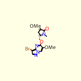 COc1cn2ncc(Br)c2nc1OC[C@@H]1C[C@@H](OC)C(=O)N1C